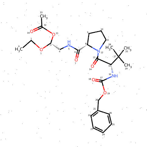 CCO[C@@H](CNC(=O)[C@@H]1CCCN1C(=O)[C@@H](NC(=O)OCc1ccccc1)C(C)(C)C)OC(C)=O